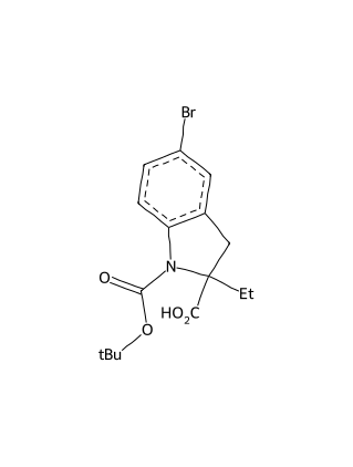 CCC1(C(=O)O)Cc2cc(Br)ccc2N1C(=O)OC(C)(C)C